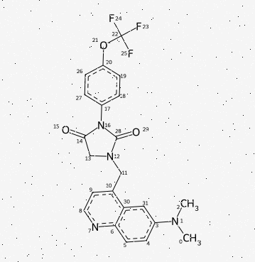 CN(C)c1ccc2nccc(CN3CC(=O)N(c4ccc(OC(F)(F)F)cc4)C3=O)c2c1